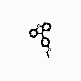 CCOc1ccc(C2c3ccccc3Oc3ccccc32)cc1